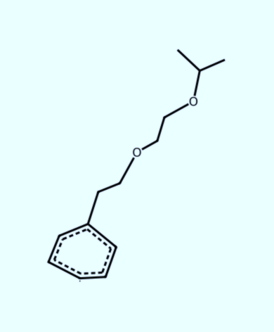 CC(C)OCCOCCc1cc[c]cc1